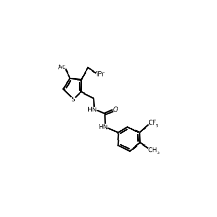 CC(=O)c1csc(CNC(=O)Nc2ccc(C)c(C(F)(F)F)c2)c1CC(C)C